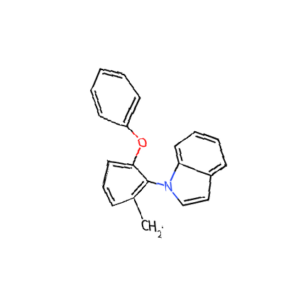 [CH2]c1cccc(Oc2ccccc2)c1-n1ccc2ccccc21